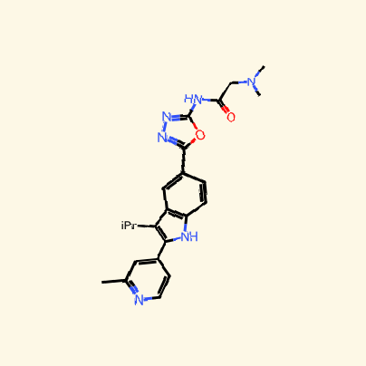 Cc1cc(-c2[nH]c3ccc(-c4nnc(NC(=O)CN(C)C)o4)cc3c2C(C)C)ccn1